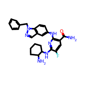 NC(=O)c1cc(F)c(NC2CCCCC2N)nc1Nc1ccc2c(cnn2Cc2ccccc2)c1